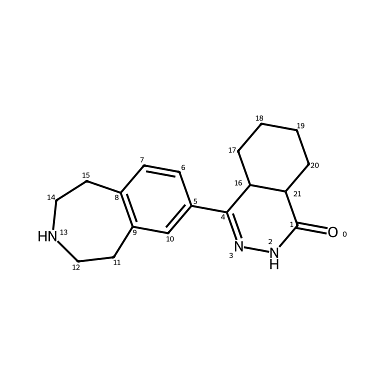 O=C1NN=C(c2ccc3c(c2)CCNCC3)C2CCCCC12